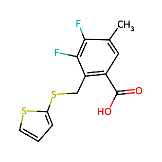 Cc1cc(C(=O)O)c(CSc2cccs2)c(F)c1F